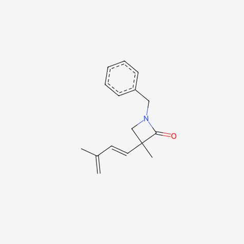 C=C(C)C=CC1(C)CN(Cc2ccccc2)C1=O